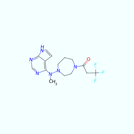 CN(c1ncnc2[nH]ccc12)N1CCCN(C(=O)CC(F)(F)F)CC1